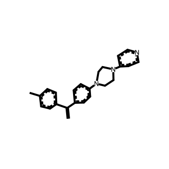 C=C(c1ccc(C)cc1)c1ccc(N2CCN(c3ccncc3)CC2)cc1